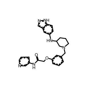 O=C(COc1cccc(CN2CCCC(Nc3ccc4[nH]ncc4c3)C2)c1)Nc1cccnc1